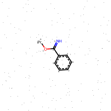 CC(C)OC(=N)c1c[c]ccc1